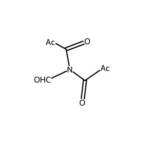 CC(=O)C(=O)N(C=O)C(=O)C(C)=O